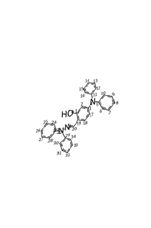 Oc1cc(N(c2ccccc2)c2ccccc2)ccc1/C=N/N(c1ccccc1)c1ccccc1